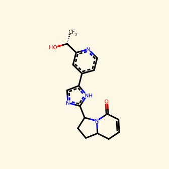 O=C1C=CCC2CCC(c3ncc(-c4ccnc([C@H](O)C(F)(F)F)c4)[nH]3)N12